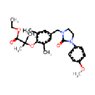 CCOC(=O)C(C)(C)Oc1c(C)cc(CN2CCN(c3ccc(OC)cc3)C2=O)cc1C